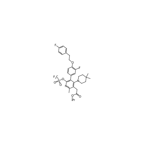 Cc1nc(OS(=O)(=O)C(F)(F)F)c(-c2ccc(OCCc3ccc(F)cc3)c(F)c2)c(N2CCC(C)(C)CC2)c1CC(=O)OC(C)C